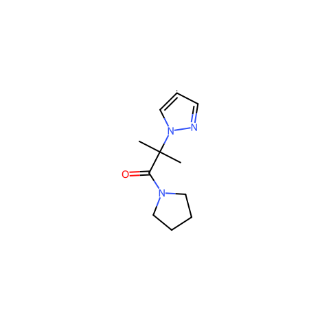 CC(C)(C(=O)N1CCCC1)n1c[c]cn1